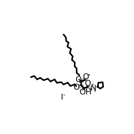 CCCCCCCCCCCCCCO[C@H]1[C@@H](OC)O[C@H](C[N+](C)(C)C2CCCC2)[C@@H](O)[C@@H]1OCCCCCCCCCCCCCC.[I-]